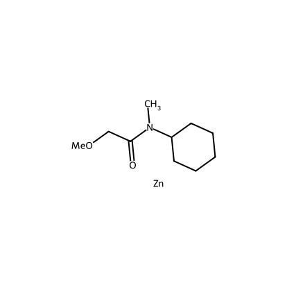 COCC(=O)N(C)C1CCCCC1.[Zn]